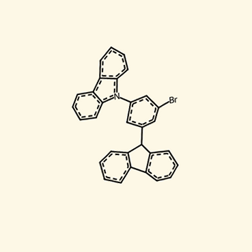 Brc1cc(C2c3ccccc3-c3ccccc32)cc(-n2c3ccccc3c3ccccc32)c1